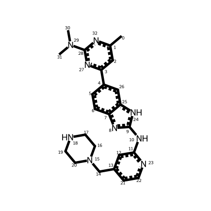 Cc1cc(-c2ccc3nc(Nc4cc(CN5CCNCC5)ccn4)[nH]c3c2)nc(N(C)C)n1